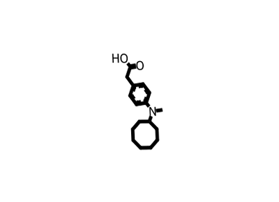 CN(c1ccc(CC(=O)O)cc1)C1CCCCCCC1